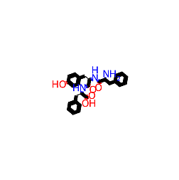 N[C@@H](Cc1ccccc1)C(=O)N[C@@H](Cc1ccc(O)cc1)C(=O)N[C@@H](Cc1ccccc1)C(=O)O